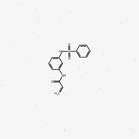 C=CC(=O)Nc1cccc(NS(=O)(=O)c2ccccc2)c1